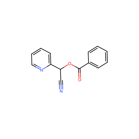 N#CC(OC(=O)c1ccccc1)c1ccccn1